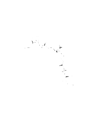 CC(C)(C)OC(=O)NNC(=O)CCN[PH](=N)NCCC(=O)NNC(=O)OC(C)(C)C